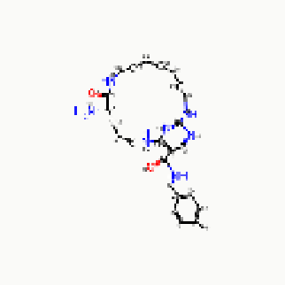 Cc1ccc(CNC(=O)c2cnc3nc2NCCC[C@H](N)C(=O)NCCCCCCCN3)cc1